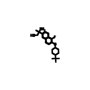 CC(N)(CO)c1ccc2c(F)c(OC3CCC(C(C)(C)C)CC3)ccc2c1